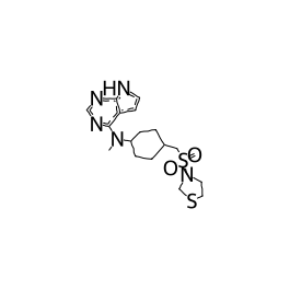 CN(c1ncnc2[nH]ccc12)C1CCC(CS(=O)(=O)N2CCSC2)CC1